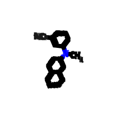 CN(c1cccc(C#N)c1)c1ccc2ccccc2c1